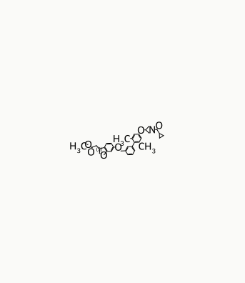 COC(=O)C[C@@H]1COc2cc(OCc3cccc(-c4c(C)cc(OC5CN(C(=O)C6CC6)C5)cc4C)c3)ccc21